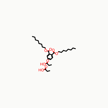 CCC(=O)O.CCC(=O)O.CCCCCCCCOC(=O)c1ccccc1C(=O)OCCCCCCCC